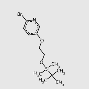 CC(C)(C)[Si](C)(C)OCCOc1ccc(Br)nc1